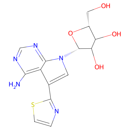 Nc1ncnc2c1c(-c1nccs1)cn2[C@@H]1O[C@H](CO)C(O)C1O